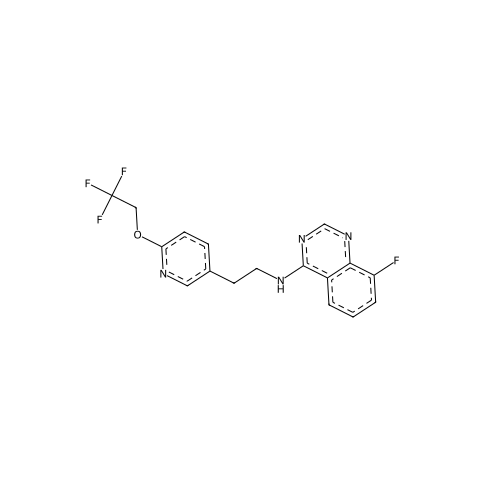 Fc1cccc2c(NCCc3ccc(OCC(F)(F)F)nc3)ncnc12